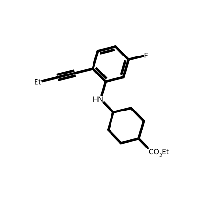 CCC#Cc1ccc(F)cc1NC1CCC(C(=O)OCC)CC1